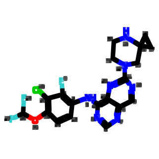 Fc1c(Nc2ncnc3cnc(N4CCNC5(CC5)C4)nc23)ccc(OC(F)F)c1Cl